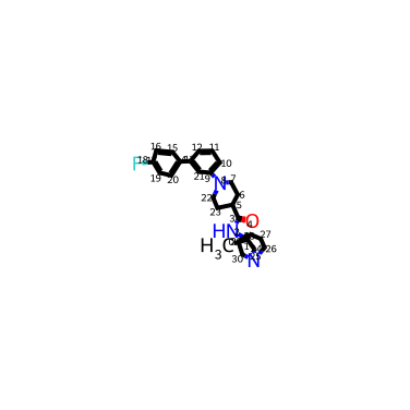 CC1(NC(=O)C2CCN(c3cccc(-c4ccc(F)cc4)c3)CC2)CN2CCC1CC2